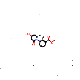 COC(=O)c1cccc(-n2c(C)cc(O)cc2=O)c1C